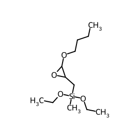 CCCCOC1OC1C[Si](C)(OCC)OCC